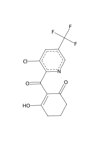 O=C1CCCC(O)=C1C(=O)c1ncc(C(F)(F)F)cc1Cl